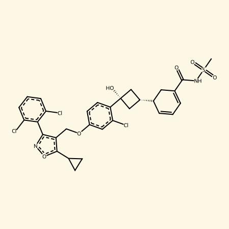 CS(=O)(=O)NC(=O)C1=CC=CC([C@H]2C[C@](O)(c3ccc(OCc4c(-c5c(Cl)cccc5Cl)noc4C4CC4)cc3Cl)C2)C1